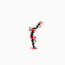 O=C(O)CCCCCC(=O)OC(=O)CCCCC(=O)OC(=O)CCCCCC(=O)O